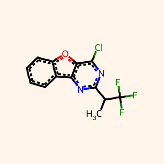 CC(c1nc(Cl)c2oc3ccccc3c2n1)C(F)(F)F